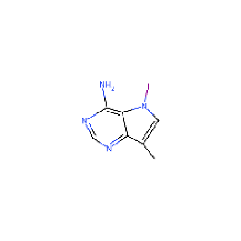 Cc1cn(I)c2c(N)ncnc12